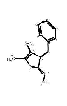 Cc1sc(=NN)n(Cc2ccccc2)c1C